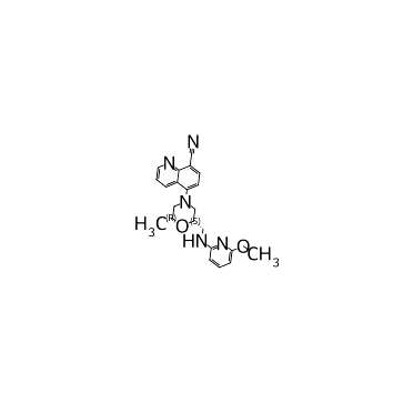 COc1cccc(NC[C@H]2CN(c3ccc(C#N)c4ncccc34)C[C@@H](C)O2)n1